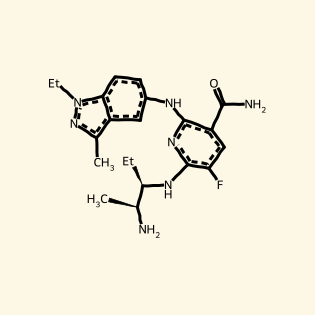 CC[C@@H](Nc1nc(Nc2ccc3c(c2)c(C)nn3CC)c(C(N)=O)cc1F)[C@H](C)N